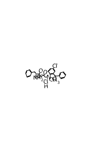 CN(CC(=O)NC(=O)[C@@H](N)Cc1ccccc1)c1ccc(Cl)cc1C(=O)c1ccccc1.Cl